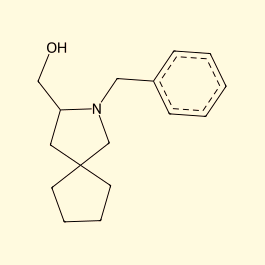 OCC1CC2(CCCC2)CN1Cc1ccccc1